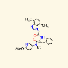 CCN(C(=O)[C@H](Cc1ccccc1)NC(=O)Cn1cnc2c(C)ccc(C)c21)c1ccc(OC)nc1